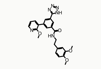 COc1ccc(CCNC(=O)c2cc(-c3nnn[nH]3)cc(-c3cccnc3OC)c2)cc1OC